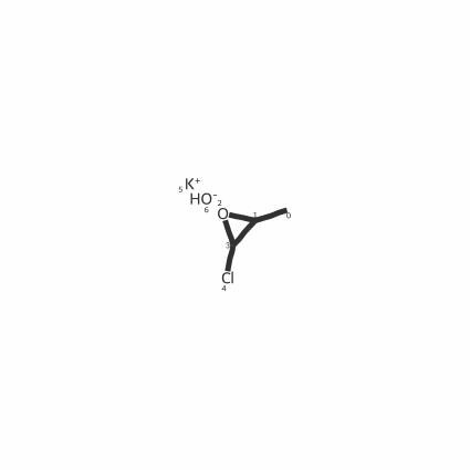 CC1OC1Cl.[K+].[OH-]